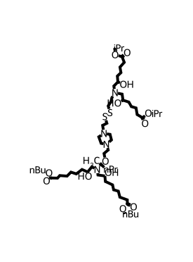 CCCCOC(=O)CCCCCCC(O)CN(CC(O)CCCCCCC(=O)OCCCC)C(C)(CCC)OCCN1CCN(CCSSCCCN(CC(O)CCCCC(=O)OC(C)C)CC(O)CCCCC(=O)OC(C)C)CC1